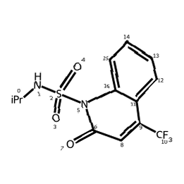 CC(C)NS(=O)(=O)n1c(=O)cc(C(F)(F)F)c2ccccc21